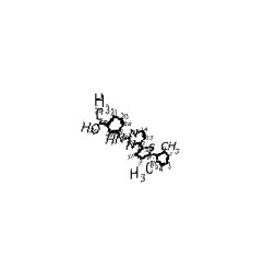 Cc1cccc(C)c1-c1ccc(-c2ccnc(Nc3cccc(C(C)O)c3)n2)s1